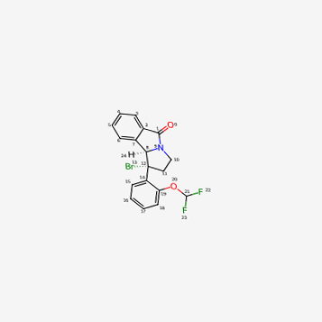 O=C1c2ccccc2[C@H]2N1CC[C@@]2(Br)c1ccccc1OC(F)F